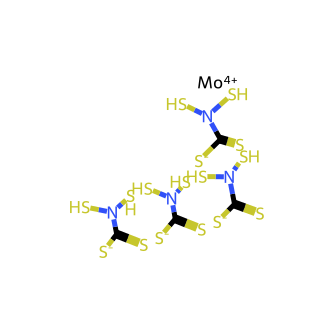 S=C([S-])N(S)S.S=C([S-])N(S)S.S=C([S-])N(S)S.S=C([S-])N(S)S.[Mo+4]